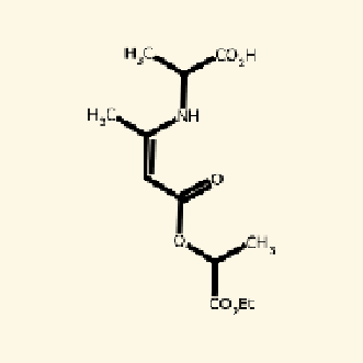 CCOC(=O)C(C)OC(=O)C=C(C)NC(C)C(=O)O